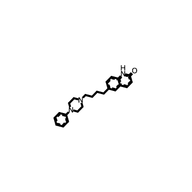 O=c1ccc2cc(CCCCN3CCN(c4ccccc4)CC3)ccc2[nH]1